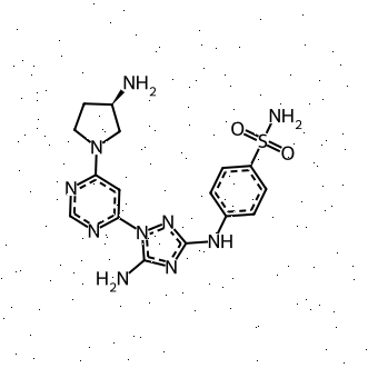 Nc1nc(Nc2ccc(S(N)(=O)=O)cc2)nn1-c1cc(N2CC[C@@H](N)C2)ncn1